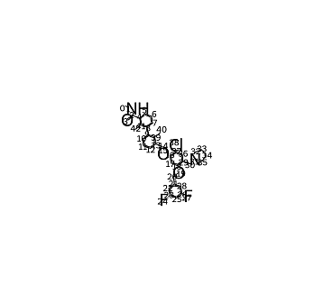 CNC(=O)c1cccc(-c2cccc(COc3cc(OCc4cc(F)cc(F)c4)c(CN4CCCC4)cc3Cl)c2C)c1C